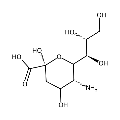 N[C@@H]1C(O)C[C@@](O)(C(=O)O)OC1[C@H](O)[C@H](O)CO